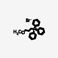 COCCC[P+](c1ccccc1)(c1ccccc1)c1ccccc1.[Br-]